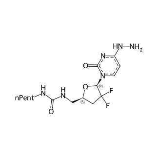 CCCCCNC(=O)NC[C@@H]1CC(F)(F)[C@H](n2ccc(NN)nc2=O)O1